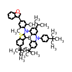 Cc1cc(-c2coc3ccccc23)cc(C)c1N1c2cc(C(C)C)cc3c2B(c2cc(C(C)(C)C)ccc2N3c2ccc(C(C)(C)C)cc2)c2c1sc1ccc(C(C)(C)C)cc21